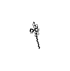 CCCCCCCCCCOC(=O)OC1C(c2cccnc2)=C(OC(=O)OCC)C(C)=NC1C